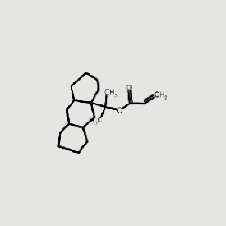 C=CC(=O)OC(C)(C)C12CCCCC1CC1CCCCC1C2